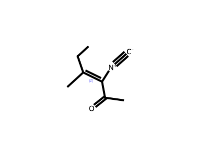 [C-]#[N+]/C(C(C)=O)=C(/C)CC